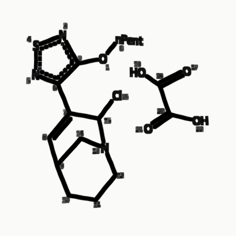 CCCCCOc1nsnc1C1=CC2CCCN(C2)C1Cl.O=C(O)C(=O)O